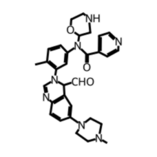 Cc1ccc(N(C(=O)c2ccncc2)C2CNCCO2)cc1N1C=Nc2ccc(N3CCN(C)CC3)cc2C1C=O